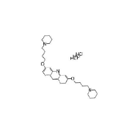 Cl.Cl.Cl.c1cc2cc3ccc(OCCCCN4CCCCC4)cc3nc2cc1OCCCCN1CCCCC1